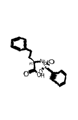 O=C(O)[C@@H](CCc1ccccc1)NS(=O)(=O)c1ccccc1